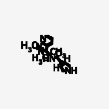 Cn1nc(C(C)(C)NC(=O)C2[C@H]3CNC[C@@H]23)c2cccnc21